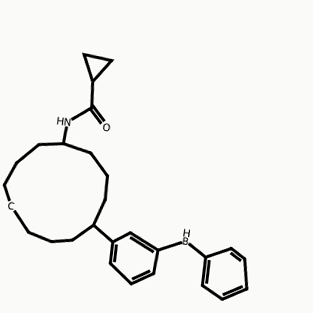 O=C(NC1CCCCCCCC(c2cccc(Bc3ccccc3)c2)CCC1)C1CC1